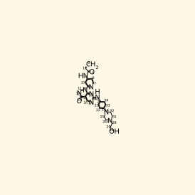 C=CC(=O)Nc1ccnc(-n2cnc(=O)c3cnc(Nc4ccc(N5CCN(CCO)CC5)cc4)nc32)c1